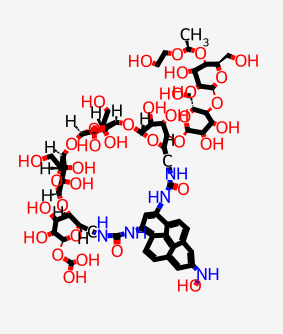 C[C@H](OCCO)O[C@H]1C(O)C(O)[C@@H](O[C@H]2C(O)C(O)[C@@H](O[C@H]3C(O)C(O)[C@@H]4O[C@@H]3CNC(=O)Nc3cc(c5ccc6cc(NO)cc7ccc3c5c76)NC(=O)NC[C@H]3O[C@H](OC(O)O)C(O)C(O)[C@@H]3O[C@H]3O[C@H](CO)[C@@H](O[C@H]5O[C@H](CO)[C@@H](O4)C(O)C5O)C(O)C3O)O[C@@H]2CO)O[C@@H]1CO